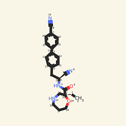 CC[C@@]1(C(=O)N[C@H](C#N)Cc2ccc(-c3ccc(C#N)cc3)cc2)CNCCCO1